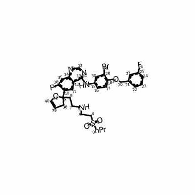 CCCS(=O)(=O)CCNCCC1(c2cc3c(Nc4ccc(OCc5cccc(F)c5)c(Br)c4)ncnc3cc2F)CC=CO1